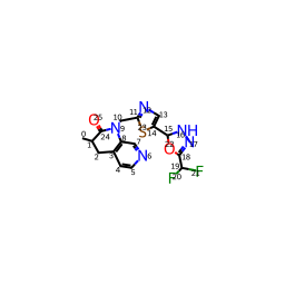 CC1Cc2ccncc2N(Cc2ncc(C3NN=C(C(F)F)O3)s2)C1=O